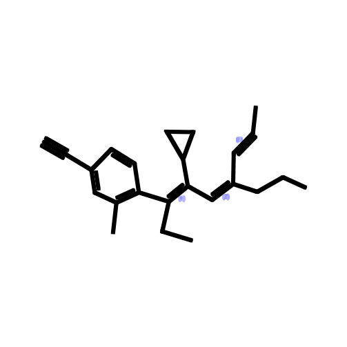 C#Cc1ccc(/C(CC)=C(/C=C(\C=C\C)CCC)C2CC2)c(C)c1